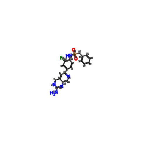 Nc1ncc2cc(-c3ccc(NS(=O)(=O)Cc4ccccc4)c(F)c3)ncc2n1